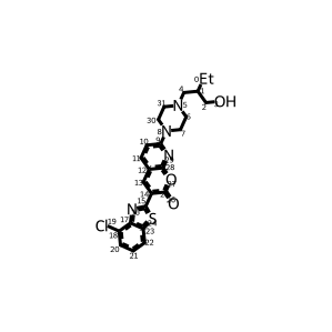 CCC(CO)CN1CCN(c2ccc3cc(-c4nc5c(Cl)cccc5s4)c(=O)oc3n2)CC1